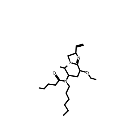 C=CC1CSC(C(CC(C(C)C)N(CCCCCC)C(=O)CCCC)OCC)=N1